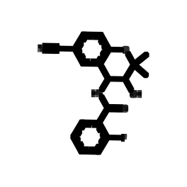 CC1(C)Oc2ccc(C#N)cc2C(NC(=O)c2ccccc2F)C1O